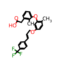 Cc1ccc(OC/C=C/c2ccc(C(F)(F)F)cc2)cc1Oc1cccc(CC(=O)O)c1C